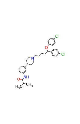 CC(C)C(=O)Nc1cccc(C2CCN(CCCCC(Oc3ccc(Cl)cc3)c3ccc(Cl)cc3)CC2)c1